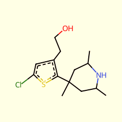 CC1CC(C)(c2sc(Cl)cc2CCO)CC(C)N1